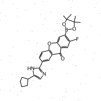 CC1(C)OB(c2cc3oc4ccc(-c5ncc(C6CCCC6)[nH]5)cc4c(=O)c3cc2F)OC1(C)C